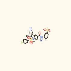 CC(=O)[N+]1(S(=O)(=O)c2ccc(F)cc2)c2ccc(C(=O)Nc3cccc(S(C)(=O)=O)c3)cc2C2(CCNCC2)C1C1CC1